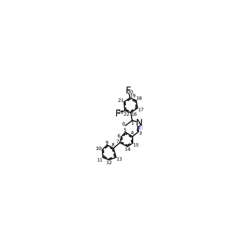 CC(/N=C\c1ccc(-c2ccccc2)cc1)c1ccc(F)cc1F